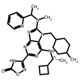 CC1CCC(Cn2c(N(C)C(C)c3ccccn3)nc3nc(-c4noc(=O)[nH]4)nc(N[C@H](C)C4CCC4)c32)CC1